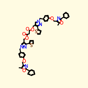 Cc1oc(-c2ccccc2)nc1COc1ccc(Cn2cc(COC(=O)CC(=O)OCc3cn(Cc4ccc(OCc5nc(-c6ccccc6)oc5C)cc4)nc3-c3cccs3)c(-c3cccs3)n2)cc1